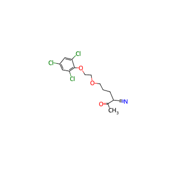 CC(=O)C(C#N)CCCOCCOc1c(Cl)cc(Cl)cc1Cl